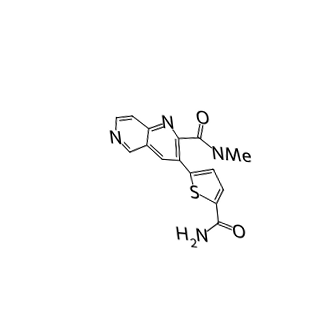 CNC(=O)c1nc2ccncc2cc1-c1ccc(C(N)=O)s1